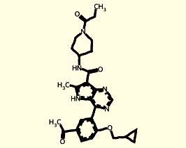 CCC(=O)N1CCC(NC(=O)c2c(C)[nH]c3c(-c4cc(C(C)=O)ccc4OCC4CC4)ncnc23)CC1